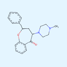 CN1CCN(C2CC(c3ccccc3)Oc3ccccc3C2=O)CC1